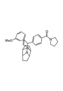 C=CCN1C2CCC1C1CCC2N1C(c1ccc(C(=O)N2CCCC2)cc1)c1cccc(OC)c1